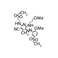 C=CS(=O)(=O)CCNc1nc(NCCCOC)c(/N=N/c2cc(S(=O)(=O)C=C)ccc2OC)c(C)c1C#N